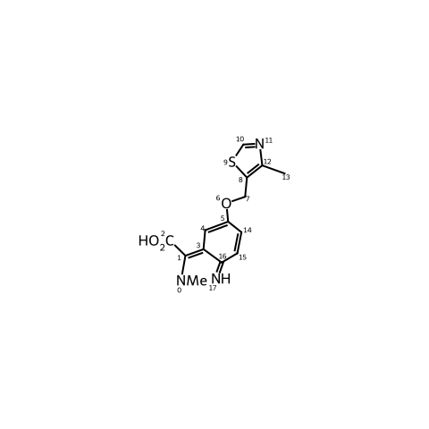 CN/C(C(=O)O)=C1/C=C(OCc2scnc2C)C=CC1=N